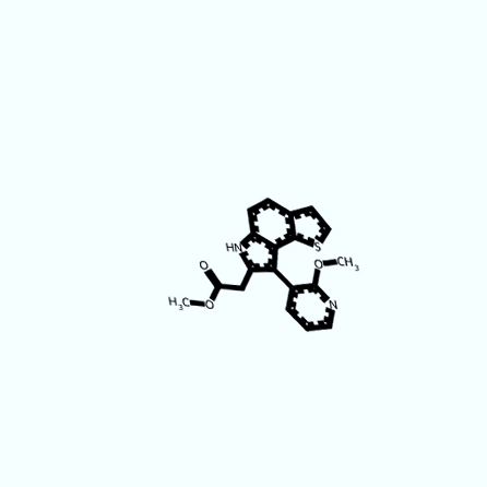 COC(=O)Cc1[nH]c2ccc3ccsc3c2c1-c1cccnc1OC